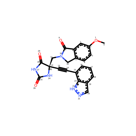 COc1ccc2c(c1)C(=O)N(C[C@@]1(C#Cc3cccc4cn[nH]c34)NC(=O)NC1=O)C2